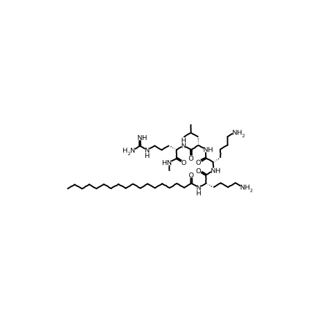 CCCCCCCCCCCCCCCCCC(=O)N[C@@H](CCCCN)C(=O)N[C@@H](CCCCN)C(=O)N[C@@H](CC(C)C)C(=O)N[C@@H](CCCNC(=N)N)C(=O)NC